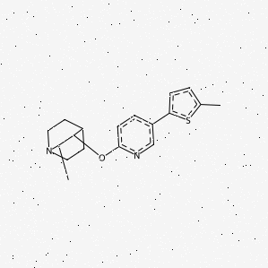 Cc1ccc(-c2ccc(OC3C4CCN(CC4)C3C)nc2)s1